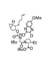 C=CCCC[C@H]1[C@H](OC(=O)N[C@H](C(=O)N2C[C@H](Oc3nc4cc(OC)ccc4nc3Cl)[C@@H](CC)[C@H]2C(=O)OCC(C)C)C(C)(C)C)CC2C[C@@H]21